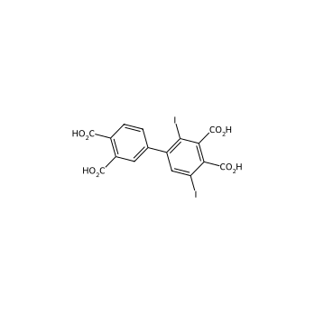 O=C(O)c1ccc(-c2cc(I)c(C(=O)O)c(C(=O)O)c2I)cc1C(=O)O